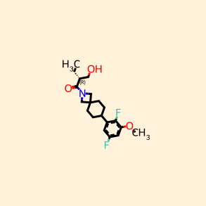 CC[C@H](CO)C(=O)N1CC2(CCC(c3cc(F)cc(OC)c3F)CC2)C1